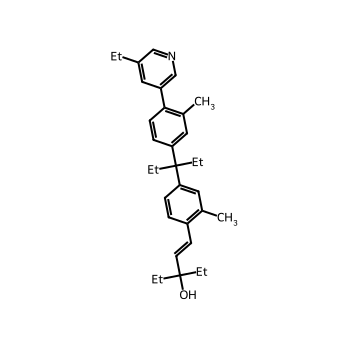 CCc1cncc(-c2ccc(C(CC)(CC)c3ccc(/C=C/C(O)(CC)CC)c(C)c3)cc2C)c1